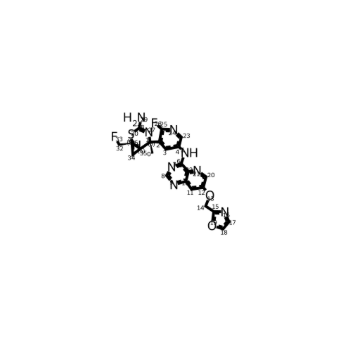 C[C@]1(c2cc(Nc3ncnc4cc(OCc5ncco5)cnc34)cnc2F)N=C(N)S[C@@]2(CF)C[C@H]21